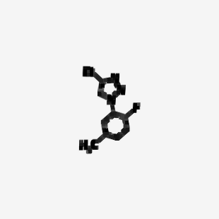 CCc1cn(-c2cc(C)ccc2F)nn1